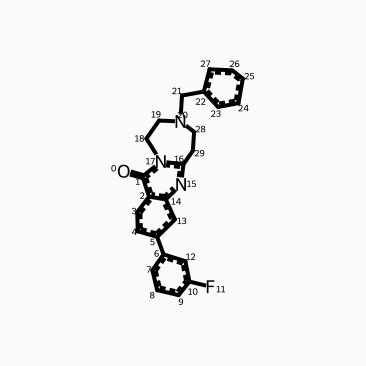 O=c1c2ccc(-c3cccc(F)c3)cc2nc2n1CCN(Cc1ccccc1)CC2